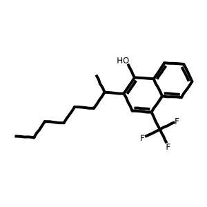 CCCCCCC(C)c1cc(C(F)(F)F)c2ccccc2c1O